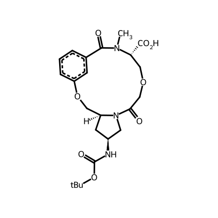 CN1C(=O)c2cccc(c2)OC[C@@H]2C[C@H](NC(=O)OC(C)(C)C)CN2C(=O)COC[C@H]1C(=O)O